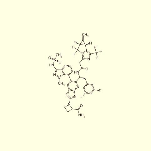 C=C1[C@@H]2c3c(C(F)(F)F)nn(CC(=O)N[C@@H](Cc4cc(F)cc(F)c4)c4nc5nc(N6CCC6C(N)=O)sc5cc4-c4cccc5c(NS(C)(=O)=O)nn(C)c45)c3C(F)(F)[C@H]12